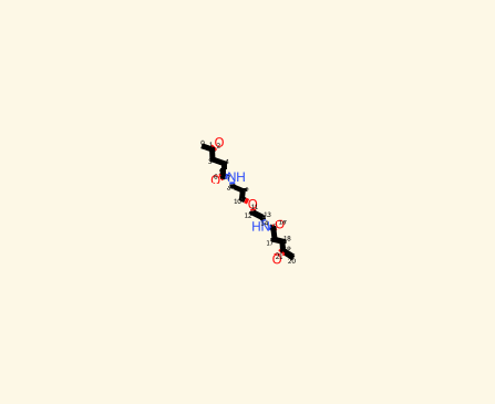 CC(=O)CCC(=O)NCCCOCCNC(=O)CCC(C)=O